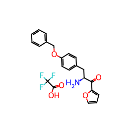 N[C@@H](Cc1ccc(OCc2ccccc2)cc1)C(=O)c1ccco1.O=C(O)C(F)(F)F